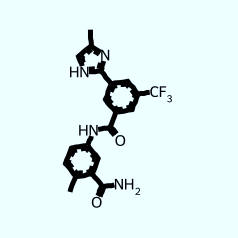 Cc1c[nH]c(-c2cc(C(=O)Nc3ccc(C)c(C(N)=O)c3)cc(C(F)(F)F)c2)n1